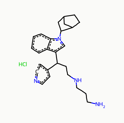 Cl.NCCCNCCC(c1ccncc1)c1cn(C2CC3CCC2C3)c2ccccc12